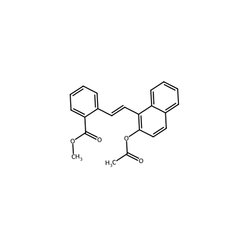 COC(=O)c1ccccc1/C=C/c1c(OC(C)=O)ccc2ccccc12